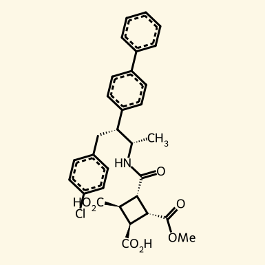 COC(=O)[C@@H]1[C@@H](C(=O)O)[C@@H](C(=O)O)[C@@H]1C(=O)N[C@@H](C)[C@H](Cc1ccc(Cl)cc1)c1ccc(-c2ccccc2)cc1